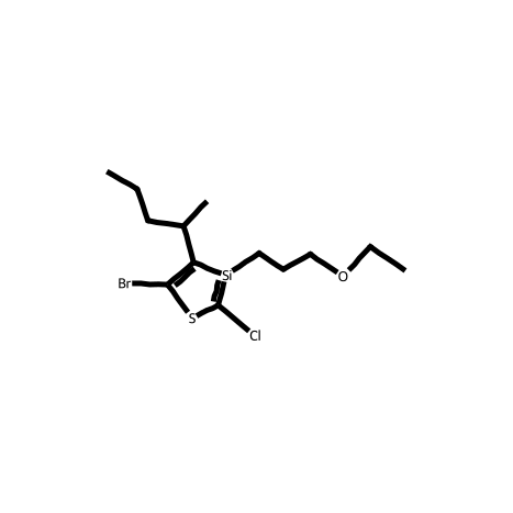 CCCC(C)c1c(Br)sc(Cl)[si]1CCCOCC